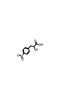 O=C(O)C(S)Cc1ccc([N+](=O)[O-])cc1